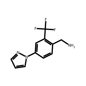 NCc1ccc(-n2cccn2)cc1C(F)(F)F